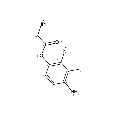 Cc1c(N)ccc(OC(=O)CC(C)C)c1N